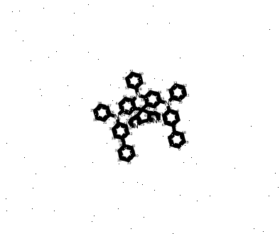 c1ccc(-c2ccc(N(c3ccccc3)c3ccc4c(c3)C3(c5cc(N(c6ccccc6)c6ccc(-c7ccccc7)cc6)ccc5N4c4ccccc4)c4cccnc4-c4ncccc43)cc2)cc1